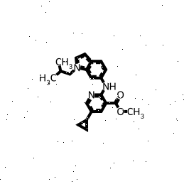 COC(=O)c1cc(C2CC2)cnc1Nc1ccc2ccn(CC(C)C)c2c1